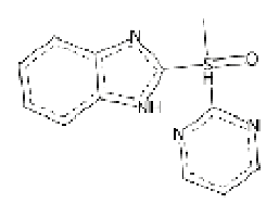 C[SH](=O)(c1ncccn1)c1nc2ccccc2[nH]1